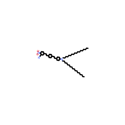 CCCCCCCCCCCCCCCCCCN(CCCCCCCCCCCCCCCCCC)c1ccc(/C=C/c2ccc(/C=C/c3ccc([N+](=O)[O-])c(C#N)c3)cc2)cc1